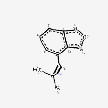 CC(=O)/C(C)=C/c1cccc2nonc12